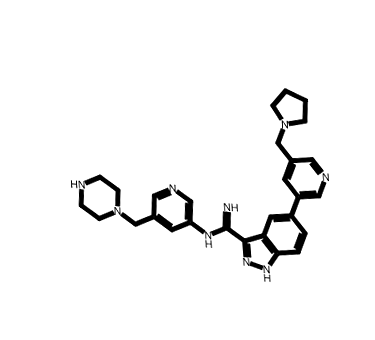 N=C(Nc1cncc(CN2CCNCC2)c1)c1n[nH]c2ccc(-c3cncc(CN4CCCC4)c3)cc12